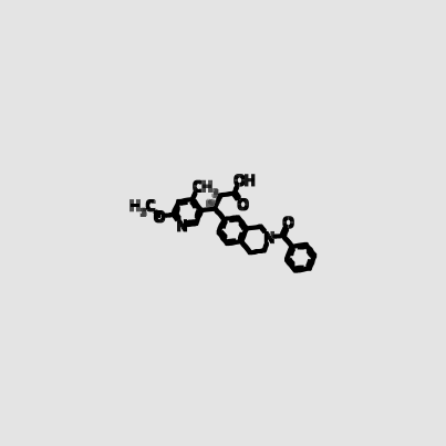 COc1cc(C)c([C@@H](CC(=O)O)c2ccc3c(c2)CN(C(=O)c2ccccc2)CC3)cn1